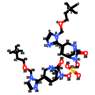 C[Si](C)(C)CCOCn1ccnc1C1=CC2CN(C1)C(=O)N2OS(=O)(=O)ON1C(=O)N2CC(c3nccn3COCC[Si](C)(C)C)=CC1C2